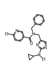 CCN(c1nc(CN(Cc2ccccc2)C(=O)c2ccc(Cl)nc2)cs1)C1CC1